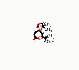 C=C(C(=O)O)C1CCCCC(=O)O1.CC1(C)COCO1